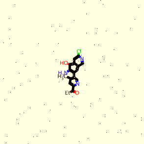 CCC(=O)c1cc(C)c(-c2cc3cnc(Cl)cc3c(O)c2N)cn1